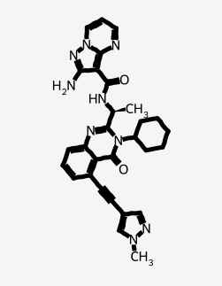 C[C@H](NC(=O)c1c(N)nn2cccnc12)c1nc2cccc(C#Cc3cnn(C)c3)c2c(=O)n1C1CCCCC1